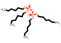 CCCCCCOP(=O)(OCCCCCC)OP(=O)(OCCCCCC)OCCCCCC